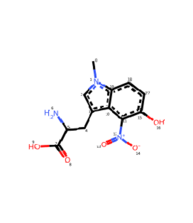 Cn1cc(CC(N)C(=O)O)c2c([N+](=O)[O-])c(O)ccc21